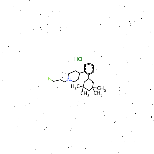 CC1(C)CC(c2ccccc2C2CCN(CCCF)CC2)CC(C)(C)C1.Cl